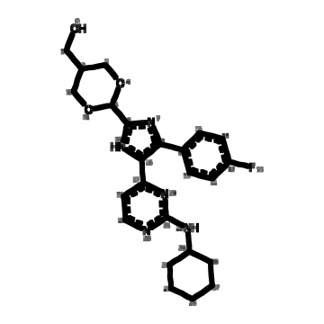 OCC1COC(c2nc(-c3ccc(F)cc3)c(-c3ccnc(NC4CCCCC4)n3)[nH]2)OC1